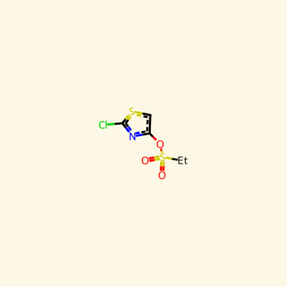 CCS(=O)(=O)Oc1csc(Cl)n1